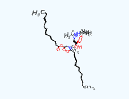 CCCCCCCCCCCC(=O)OC(=O)CN(C)C(=O)CCCCCCCCCCC.CNCC(=O)O.[NaH].[NaH]